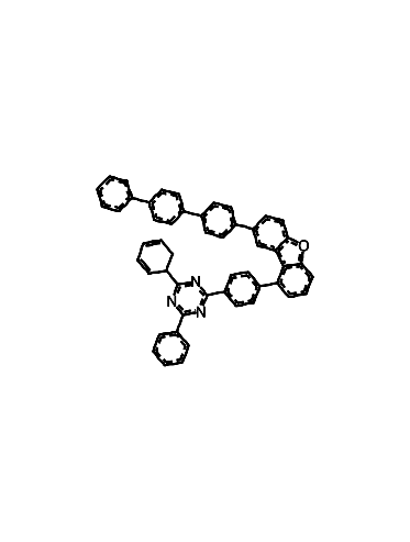 C1=CCC(c2nc(-c3ccccc3)nc(-c3ccc(-c4cccc5oc6ccc(-c7ccc(-c8ccc(-c9ccccc9)cc8)cc7)cc6c45)cc3)n2)C=C1